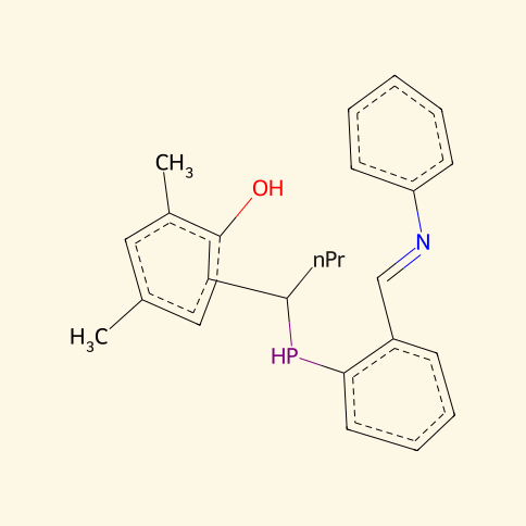 CCCC(Pc1ccccc1/C=N/c1ccccc1)c1cc(C)cc(C)c1O